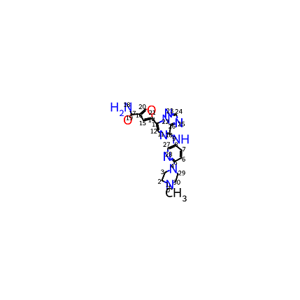 CN1CCN(c2ccc(Nc3ncc(-c4cc(C(N)=O)co4)n4ncnc34)cn2)CC1